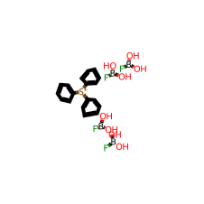 OB(O)F.OB(O)F.OB(O)F.OB(O)F.c1ccc([S+](c2ccccc2)c2ccccc2)cc1